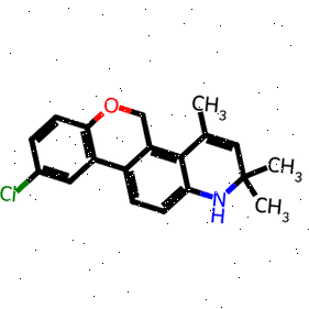 CC1=CC(C)(C)Nc2ccc3c(c21)COc1ccc(Cl)cc1-3